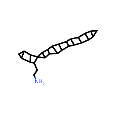 NCCC1C2C3CC3C2C12C1C3C4C5C6C7C8C9C%10CC%10C9C8C7C6C5C4C3C12